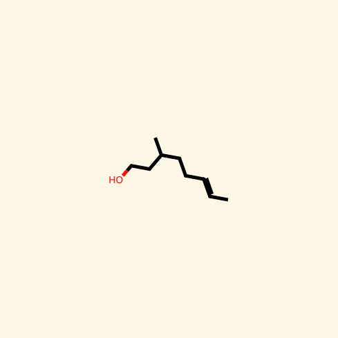 CC=CCCC(C)CCO